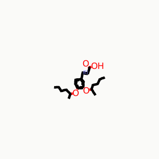 CCCCC(C)Oc1ccc(/C=C/C(=O)O)cc1OC(C)CCCC